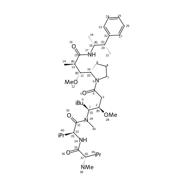 CCC(C)[C@@H]([C@@H](CC(=O)N1CCC[C@H]1[C@H](OC)[C@@H](C)C(=O)N[C@H](C)[C@@H](C)c1ccccc1)OC)N(C)C(=O)[C@@H](NC(=O)[C@@H](NC)C(C)C)C(C)C